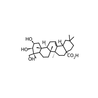 CC1(C)CC[C@]2(C(=O)O)CC[C@]3(C)C(=CC[C@@H]4[C@@]5(C)C[C@H](O)[C@H](O)[C@@](C)(CO)C5CC[C@]43C)[C@@H]2C1